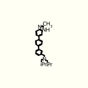 Cc1nc2ccc(-c3ccc(-c4cccc(CN(CC(C)C)CC(C)C)c4)cc3)cc2[nH]1